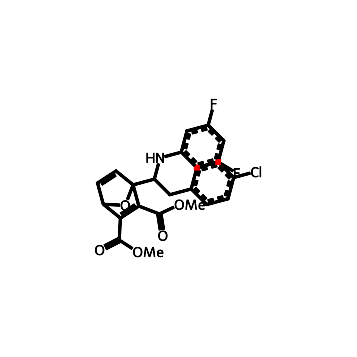 COC(=O)C1=C(C(=O)OC)C2(C(Cc3ccc(Cl)cc3)Nc3cc(F)cc(F)c3)C=CC1O2